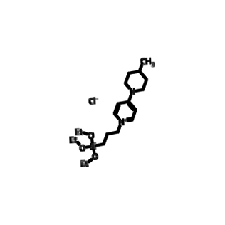 CCO[Si](CCC[n+]1ccc(N2CCC(C)CC2)cc1)(OCC)OCC.[Cl-]